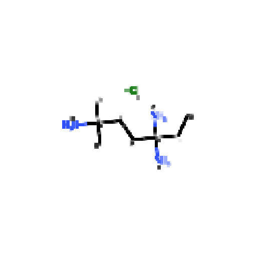 CCC(N)(N)CCC(C)(C)N.Cl